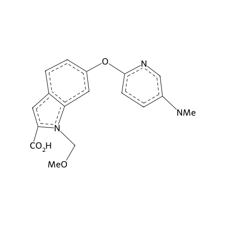 CNc1ccc(Oc2ccc3cc(C(=O)O)n(COC)c3c2)nc1